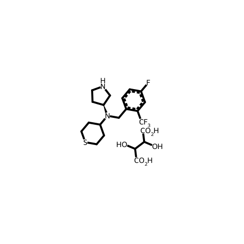 Fc1ccc(CN(C2CCSCC2)[C@H]2CCNC2)c(C(F)(F)F)c1.O=C(O)C(O)C(O)C(=O)O